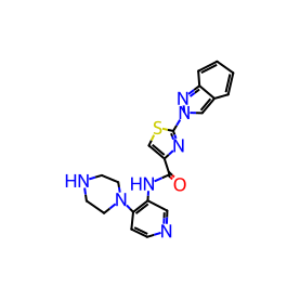 O=C(Nc1cnccc1N1CCNCC1)c1csc(-n2cc3ccccc3n2)n1